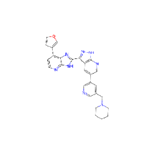 c1cc(-c2ccoc2)c2nc(-c3n[nH]c4ncc(-c5cncc(CN6CCCCC6)c5)cc34)[nH]c2n1